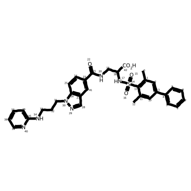 Cc1cc(-c2ccccc2)cc(C)c1S(=O)(=O)NC(CNC(=O)c1ccc2c(cnn2CCCNc2ccccn2)c1)C(=O)O